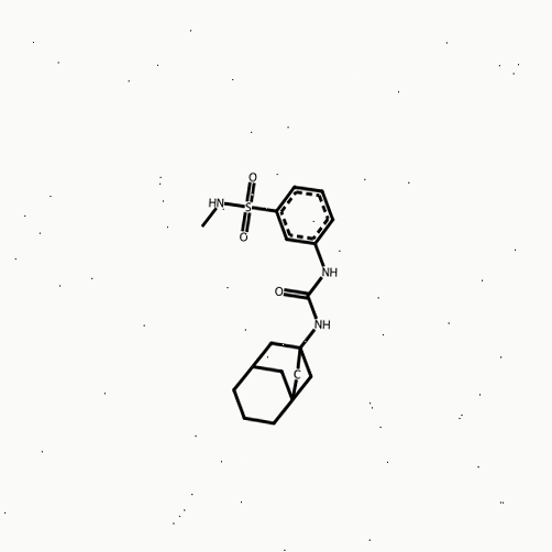 CNS(=O)(=O)c1cccc(NC(=O)NC23CC4CCCC(C4)(C2)C3)c1